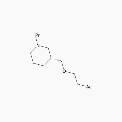 CC(=O)CCOC[C@@H]1CCCN(C(C)C)C1